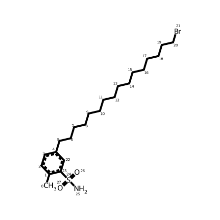 Cc1ccc(CCCCCCCCCCCCCCCCBr)cc1S(N)(=O)=O